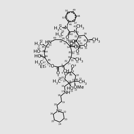 CC[C@H]1OC(=O)[C@H](C)[C@@H](O[C@H]2C[C@@](C)(OC)[C@](O)(CNCCCN3CCCCC3)[C@H](C)O2)[C@H](C)[C@@H](O[C@@H]2O[C@H](C)C[C@H](N(C)C(=O)N(C)c3ccccc3)[C@H]2O)[C@](C)(O)C[C@@H](C)CN[C@H](C)[C@@H](O)[C@]1(C)O